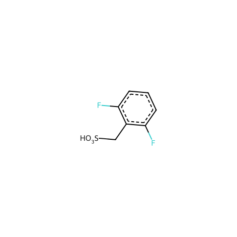 O=S(=O)(O)Cc1c(F)cccc1F